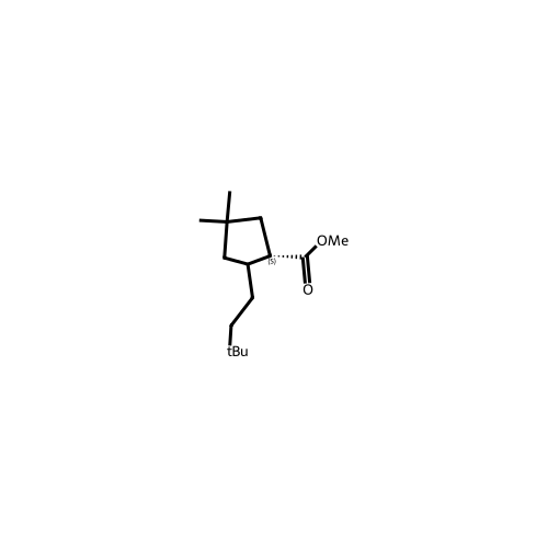 COC(=O)[C@H]1CC(C)(C)CC1CCC(C)(C)C